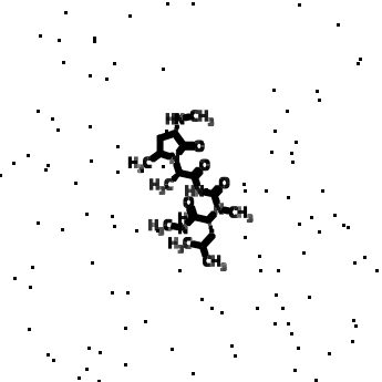 CNC(=O)[C@@H](CC(C)C)N(C)C(=O)NC(=O)[C@@H](C)N1C(=O)[C@@H](NC)CC1C